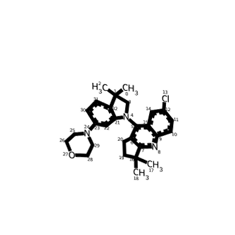 CC1(C)CN(c2c3c(nc4ccc(Cl)cc24)C(C)(C)CC3)c2cc(N3CCOCC3)ccc21